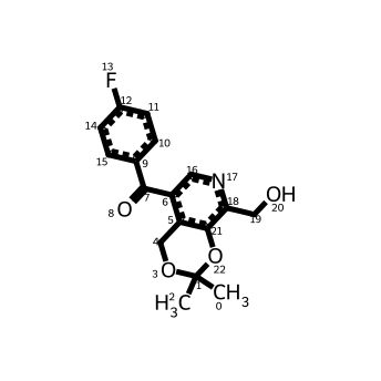 CC1(C)OCc2c(C(=O)c3ccc(F)cc3)cnc(CO)c2O1